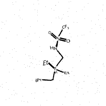 CC[PH](CC)(CNS(=O)(=O)C(F)(F)F)CC(C)C